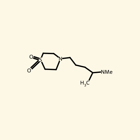 CNC(C)CCCN1CCS(=O)(=O)CC1